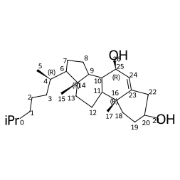 CC(C)CCC[C@@H](C)C1CCC2C3C(CC[C@@]21C)[C@@]1(C)CCC(O)CC1=C[C@@H]3O